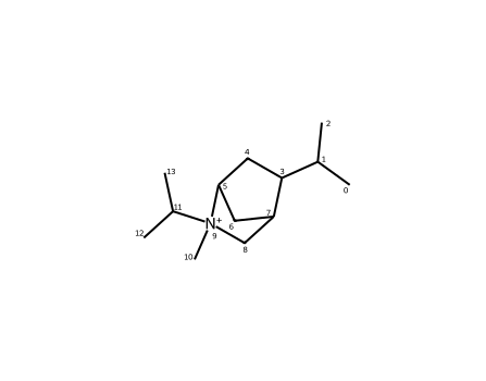 CC(C)C1CC2CC1C[N+]2(C)C(C)C